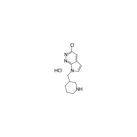 Cl.Clc1cc2ccn(CC3CCCNC3)c2nn1